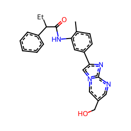 CCC(C(=O)Nc1cc(-c2cn3cc(CO)cnc3n2)ccc1C)c1ccccc1